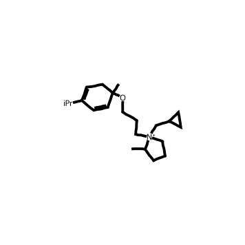 [CH2]C(C)C1=CCC(C)(OCCC[N+]2(CC3CC3)CCCC2C)C=C1